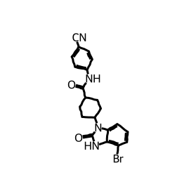 N#Cc1ccc(NC(=O)C2CCC(n3c(=O)[nH]c4c(Br)cccc43)CC2)cc1